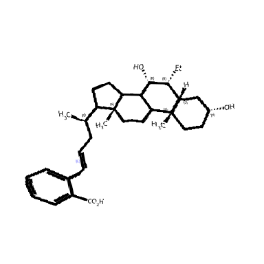 CC[C@H]1[C@@H](O)C2C3CCC([C@H](C)C/C=C/c4ccccc4C(=O)O)[C@@]3(C)CCC2[C@@]2(C)CC[C@@H](O)C[C@@H]12